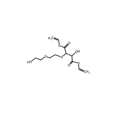 C=COC(=O)C(O)C(OCCOCCO)C(=O)OC=C